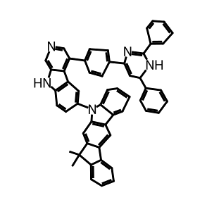 CC1(C)c2ccccc2-c2cc3c4ccccc4n(-c4ccc5[nH]c6cncc(-c7ccc(C8=CC(c9ccccc9)NC(c9ccccc9)=N8)cc7)c6c5c4)c3cc21